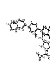 CC1(C)N=C(c2ccc(-c3ccc4ncccc4c3)cc2F)N(CC2CCN(C(=O)C3CC3)C2)C1=O